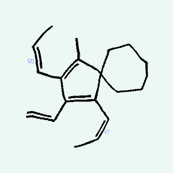 C=CC1=C(/C=C\C)C2(CCCCC2)C(C)=C1/C=C\C